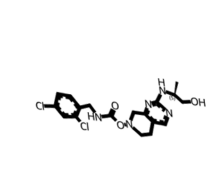 C[C@@H](CO)Nc1ncc2c(n1)CN(OC(=O)NCc1ccc(Cl)cc1Cl)CC2